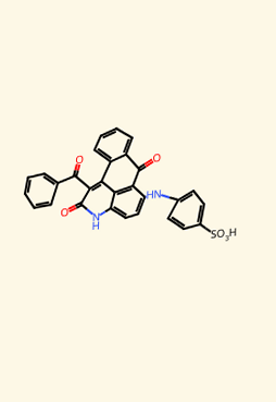 O=C(c1ccccc1)c1c2c3c(c(Nc4ccc(S(=O)(=O)O)cc4)ccc3[nH]c1=O)C(=O)c1ccccc1-2